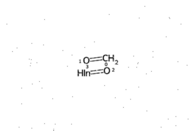 C=O.[O]=[InH]